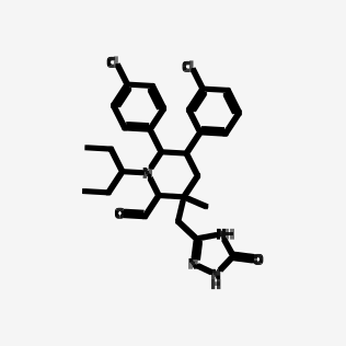 CCC(CC)N1C(c2ccc(Cl)cc2)C(c2cccc(Cl)c2)CC(C)(Cc2n[nH]c(=O)[nH]2)C1C=O